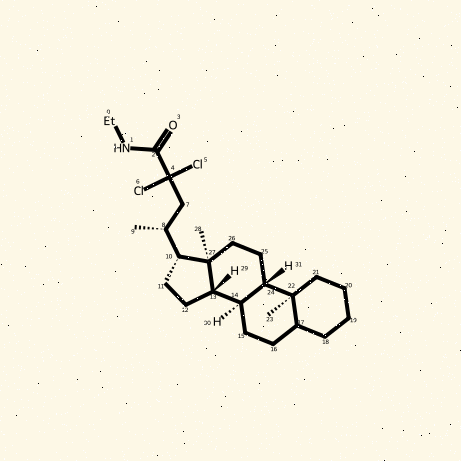 CCNC(=O)C(Cl)(Cl)C[C@@H](C)[C@H]1CC[C@H]2[C@@H]3CCC4CCCC[C@]4(C)[C@H]3CC[C@]12C